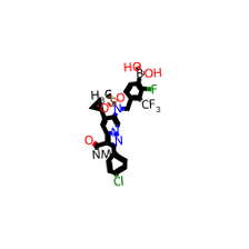 CNC(=O)c1c(-c2ccc(Cl)cc2)nn2cc(N(Cc3ccc(B(O)O)c(F)c3C(F)(F)F)S(C)(=O)=O)c(C3CC3)cc12